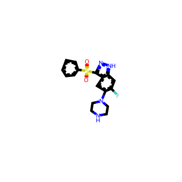 O=S(=O)(c1ccccc1)c1n[nH]c2cc(F)c(N3CCNCC3)cc12